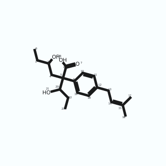 CCC(O)CC(C(=O)O)(c1ccc(CC=C(C)C)cc1)C(O)CC